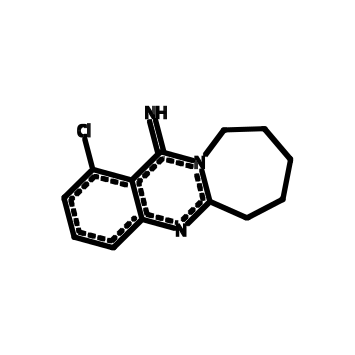 N=c1c2c(Cl)cccc2nc2n1CCCCC2